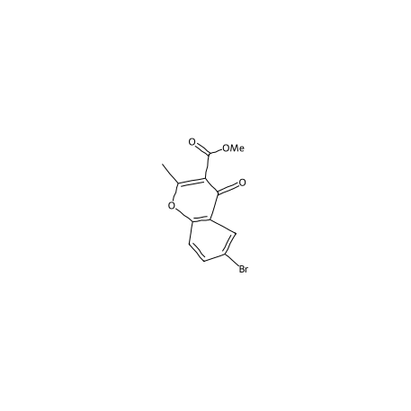 COC(=O)c1c(C)oc2ccc(Br)cc2c1=O